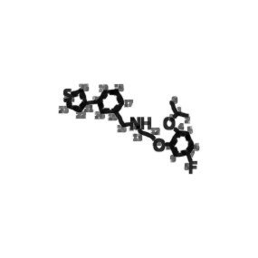 CC(C)Oc1ccc(F)cc1OCCNCc1cccc(-c2ccsc2)c1